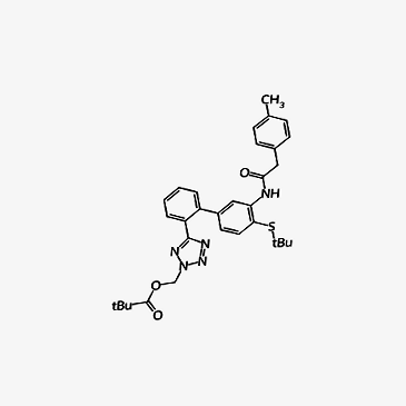 Cc1ccc(CC(=O)Nc2cc(-c3ccccc3-c3nnn(COC(=O)C(C)(C)C)n3)ccc2SC(C)(C)C)cc1